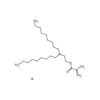 C=C(C)C(=O)OCCN(CCCCCCCCC)CCCCCCCCC.I